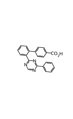 O=C(O)c1ccc(-c2ccccc2-c2ncnc(-c3ccccc3)n2)cc1